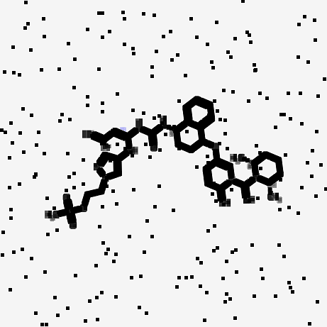 CC(C)C(=N)/C=C(/NC(=O)N[C@H]1CCC(Oc2ccc(=N)n(C(=N)N3[C@H](C)CCC[C@@H]3C)c2)c2ccccc21)Nc1cnn(CCOS(C)(=O)=O)c1